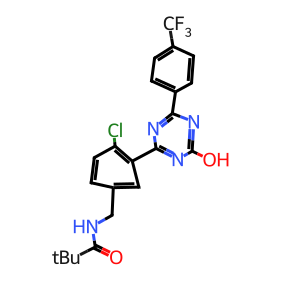 CC(C)(C)C(=O)NCc1ccc(Cl)c(-c2nc(O)nc(-c3ccc(C(F)(F)F)cc3)n2)c1